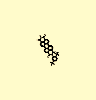 CN1C(=O)c2ccc3c4ccc5c6c(ccc(c7ccc(c2c37)C1=O)c64)C(=O)N(c1cc(C(C)(C)C)ccc1C(C)(C)C)C5=O